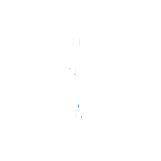 N[C@@H]1CCN(CS)C1